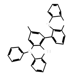 Cc1cc(-c2cccc3c2Nc2ccccc2O3)c2c(c1)N(c1ccccc1)c1ccccc1B2